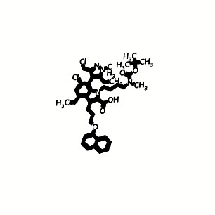 CCc1cc(Cl)c(-c2c(CCl)nn(C)c2CC)c2c1c(CCCOc1cccc3ccccc13)c(C(=O)O)n2CCCCN(C)C(=O)OC(C)(C)C